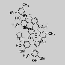 C1=CCC=C1.Cc1cc(C2=C(c3cc(C)c(O)c(C(C)(C)C)c3)CC=C2)cc(C(C)(C)C)c1O.Cc1cc(Cc2cc(C)cc(C(C)(C)C)c2-c2c(C(=O)O)ccc(C(=O)O)c2-c2c(Cc3cc(C)cc(C(C)(C)C)c3O)cc(C)cc2C(C)(C)C)c(O)c(C(C)(C)C)c1